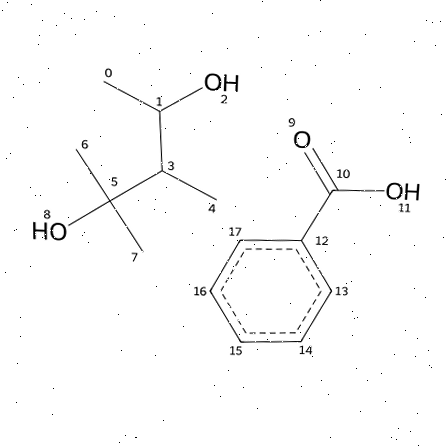 CC(O)C(C)C(C)(C)O.O=C(O)c1ccccc1